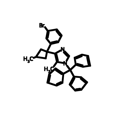 Cc1c(C2(c3cccc(Br)c3)CC(C)C2)ncn1C(c1ccccc1)(c1ccccc1)c1ccccc1